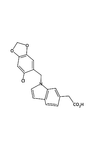 O=C(O)Cc1ccc2ccn(Cc3cc4c(cc3Cl)OCO4)c2c1